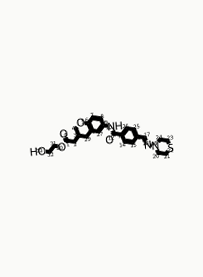 O=C(CC1COc2ccc(NC(=O)c3ccc(C=NN4CCSCC4)cc3)cc2C1)OCCO